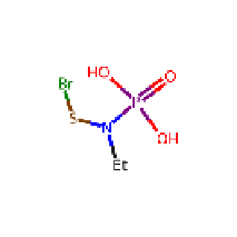 CCN(SBr)P(=O)(O)O